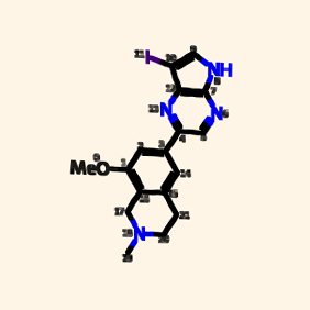 COc1cc(-c2cnc3[nH]cc(I)c3n2)cc2c1CN(C)CC2